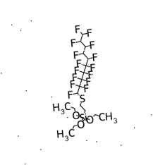 CCO[Si](CCSC(F)C(F)(F)C(F)(F)C(F)(F)C(F)(F)C(F)C(F)C(F)C(F)C(F)F)(OCC)OCC